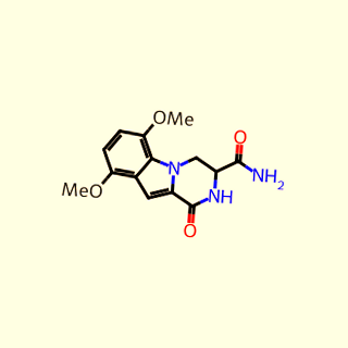 COc1ccc(OC)c2c1cc1n2CC(C(N)=O)NC1=O